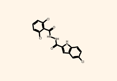 O=C(NNC(=O)c1c(Cl)cccc1Cl)c1cc2cc(Cl)ccc2[nH]1